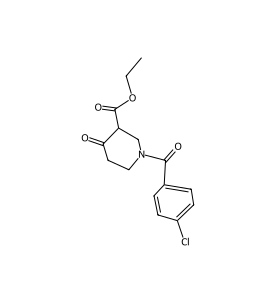 CCOC(=O)C1CN(C(=O)c2ccc(Cl)cc2)CCC1=O